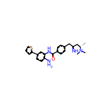 C[C@@H](CC(=N)Cc1ccc(C(=O)Nc2cc(-c3cccs3)ccc2N)cc1)N(C)C